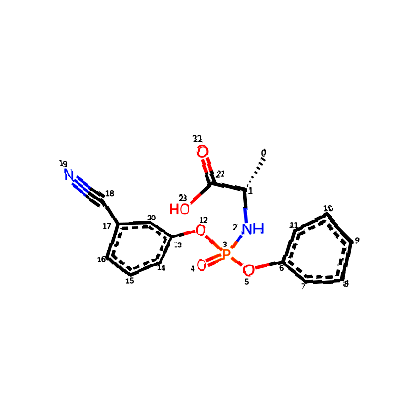 C[C@H](NP(=O)(Oc1ccccc1)Oc1cccc(C#N)c1)C(=O)O